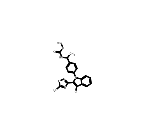 Cc1nc(-c2c(Cl)c3ccccc3n2-c2ccc(C(C)NC(=O)OC(C)(C)C)cc2)no1